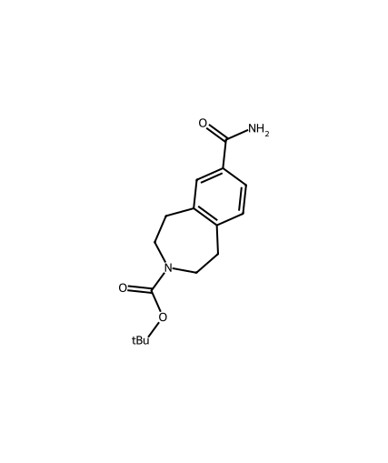 CC(C)(C)OC(=O)N1CCc2ccc(C(N)=O)cc2CC1